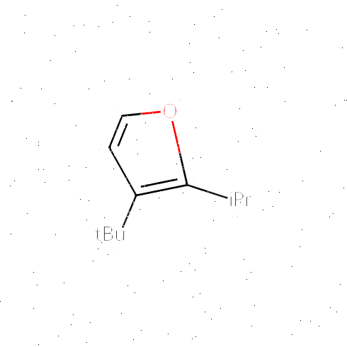 CC(C)c1occc1C(C)(C)C